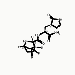 NC(=O)[C@H](C[C@@H]1CCNC1=O)NC(=O)[C@H]1N[C@H]2CC[C@@H]1C(F)(F)C2